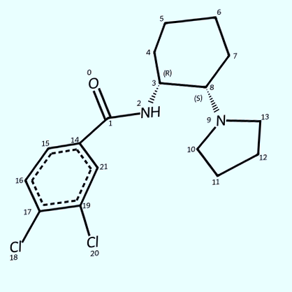 O=C(N[C@@H]1CCCC[C@@H]1N1CCCC1)c1ccc(Cl)c(Cl)c1